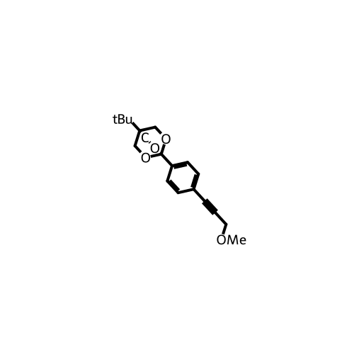 COCC#Cc1ccc(C23OCC(C(C)(C)C)(CO2)CO3)cc1